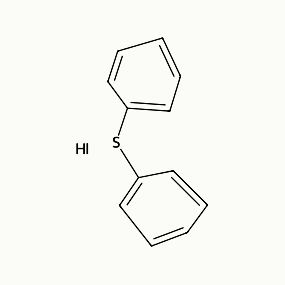 I.c1ccc(Sc2ccccc2)cc1